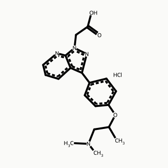 CC(CN(C)C)Oc1ccc(-c2nn(CC(=O)O)c3ncccc23)cc1.Cl